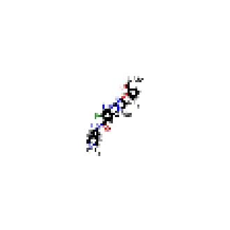 CNC(=O)c1ccccc1Oc1nc(Nc2cc(F)c(C(=O)NC3CC4(CCN(C)CC4)C3)cc2OC)ncc1C(F)(F)F